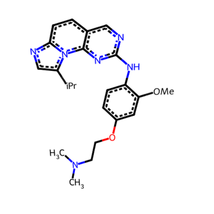 COc1cc(OCCN(C)C)ccc1Nc1ncc2ccc3ncc(C(C)C)n3c2n1